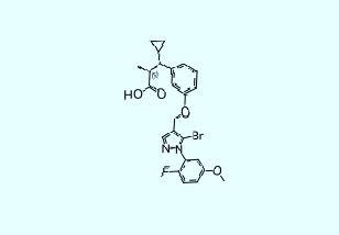 COc1ccc(F)c(-n2ncc(COc3cccc(C(C4CC4)[C@H](C)C(=O)O)c3)c2Br)c1